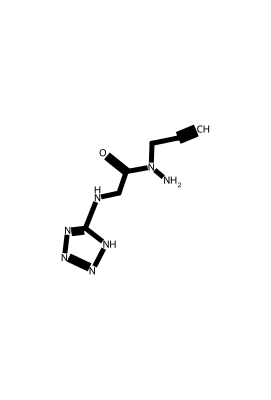 C#CCN(N)C(=O)CNc1nnn[nH]1